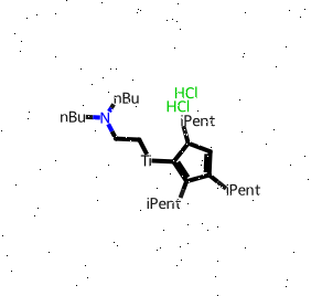 CCCCN(CCCC)C[CH2][Ti][C]1=C(C(C)CCC)C(C(C)CCC)=CC1C(C)CCC.Cl.Cl